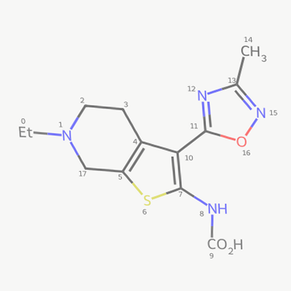 CCN1CCc2c(sc(NC(=O)O)c2-c2nc(C)no2)C1